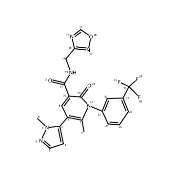 Cc1c(-c2ccnn2C)cc(C(=O)NCc2ncon2)c(=O)n1-c1cccc(C(F)(F)F)c1